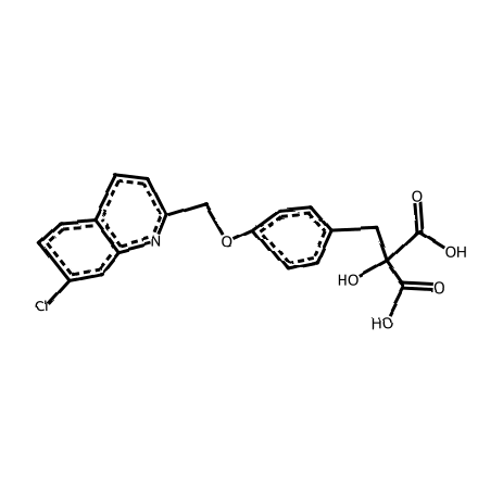 O=C(O)C(O)(Cc1ccc(OCc2ccc3ccc(Cl)cc3n2)cc1)C(=O)O